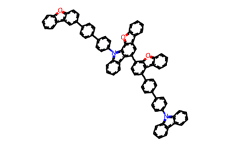 c1ccc2c(c1)oc1ccc(-c3ccc(-c4ccc(-n5c6ccccc6c6c(-c7ccc(-c8ccc(-c9ccc(-n%10c%11ccccc%11c%11ccccc%11%10)cc9)cc8)c8c7oc7ccccc78)cc7c8ccccc8oc7c65)cc4)cc3)cc12